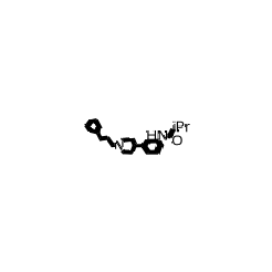 CC(C)C(=O)Nc1cccc(C2CCN(CCCc3ccccc3)CC2)c1